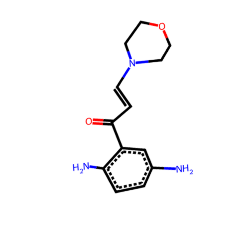 Nc1ccc(N)c(C(=O)C=CN2CCOCC2)c1